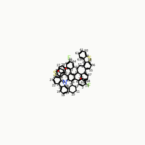 Fc1ccc(-c2c(C3CCCCC3)c(-n3c4ccccc4c4ccc5sc6ccccc6c5c43)c(C3CCCCC3)c(-c3ccc(F)cc3)c2C2CCc3c(ccc4sc5ccccc5c34)-c3ccccc32)cc1